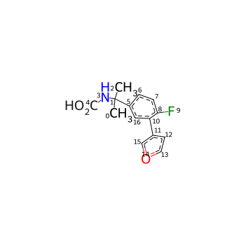 CC(C)(NC(=O)O)c1ccc(F)c(-c2ccoc2)c1